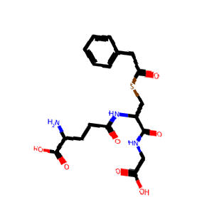 NC(CCC(=O)NC(CSC(=O)Cc1ccccc1)C(=O)NCC(=O)O)C(=O)O